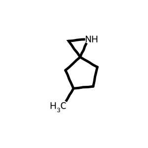 CC1CCC2(CN2)C1